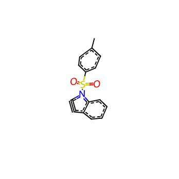 Cc1ccc(S(=O)(=O)n2c#cc3ccccc32)cc1